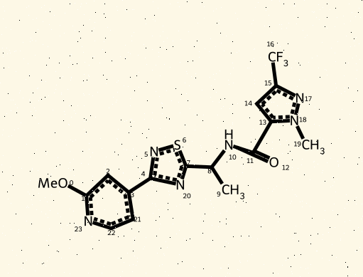 COc1cc(-c2nsc(C(C)NC(=O)c3cc(C(F)(F)F)nn3C)n2)ccn1